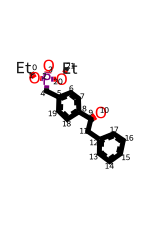 CCOP(=O)(Cc1ccc(C(=O)Cc2ccccc2)cc1)OCC